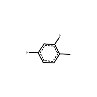 Cc1[c]cc(F)[c]c1F